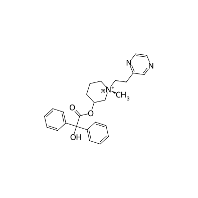 C[N@+]1(CCc2cnccn2)CCCC(OC(=O)C(O)(c2ccccc2)c2ccccc2)C1